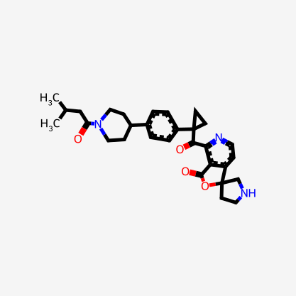 CC(C)CC(=O)N1CCC(c2ccc(C3(C(=O)c4nccc5c4C(=O)OC54CCNC4)CC3)cc2)CC1